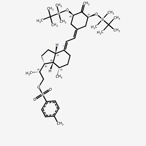 C=C1[C@@H](O[Si](C)(C)C(C)(C)C)CC(=C/C=C2\CC[C@H](C)[C@@H]3[C@H]([C@@H](C)COS(=O)(=O)c4ccc(C)cc4)CC[C@H]23)C[C@H]1O[Si](C)(C)C(C)(C)C